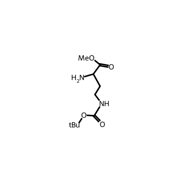 COC(=O)C(N)CCNC(=O)OC(C)(C)C